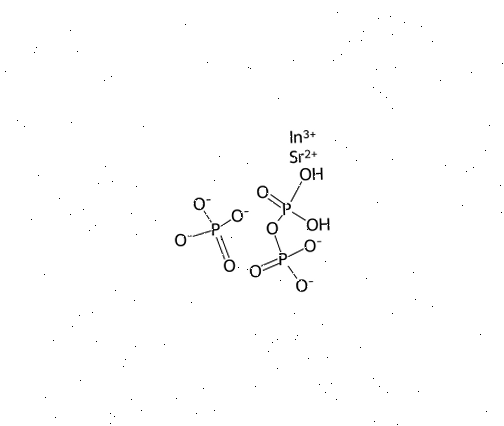 O=P([O-])([O-])OP(=O)(O)O.O=P([O-])([O-])[O-].[In+3].[Sr+2]